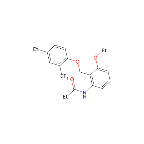 CCOc1cccc(NC(=O)CC)c1COc1ccc(CC)cc1C(F)(F)F